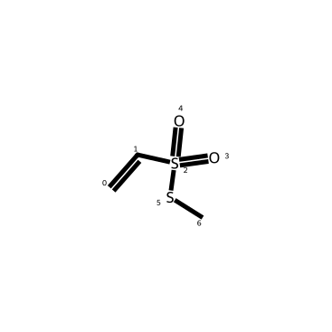 C=CS(=O)(=O)SC